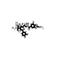 C[C@]1(C(N)=O)COc2c1cc(C(O)(CNC(=O)c1cc(F)c3nc(N)sc3c1)C(F)(F)F)nc2-c1ccc(F)c(F)c1